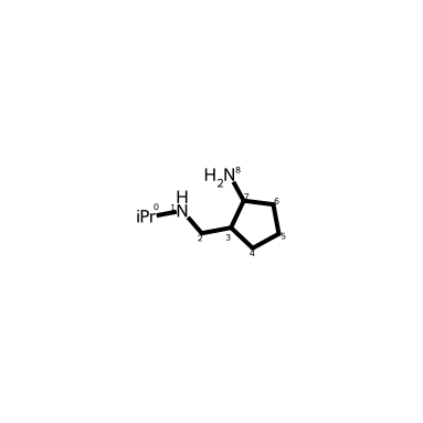 CC(C)NCC1CCCC1N